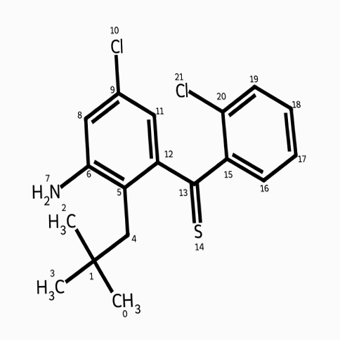 CC(C)(C)Cc1c(N)cc(Cl)cc1C(=S)c1ccccc1Cl